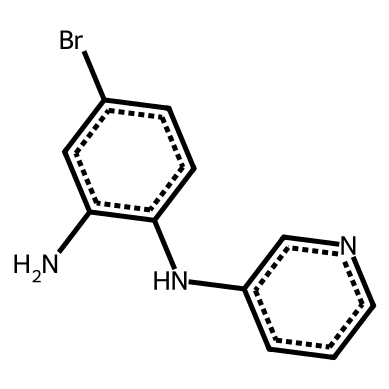 Nc1cc(Br)ccc1Nc1cccnc1